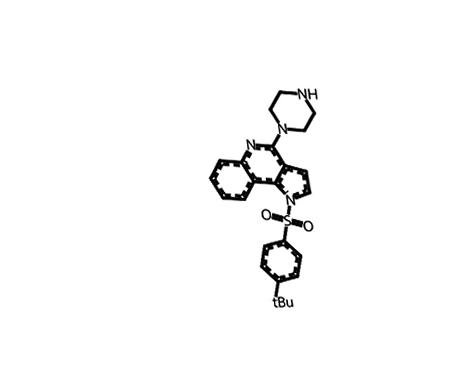 CC(C)(C)c1ccc(S(=O)(=O)n2ccc3c(N4CCNCC4)nc4ccccc4c32)cc1